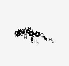 CCCCOc1ccc(-c2cc3c(cc2OCC)[C@H](NC(=O)O[C@@H]2CN4CCC2CC4)C(C)(C)C3)cc1